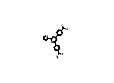 COC(=O)c1ccc(-c2cc(-c3ccc(C(N)=O)cc3)cc(-c3ccco3)n2)cc1